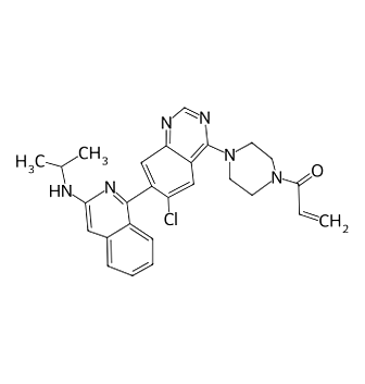 C=CC(=O)N1CCN(c2ncnc3cc(-c4nc(NC(C)C)cc5ccccc45)c(Cl)cc23)CC1